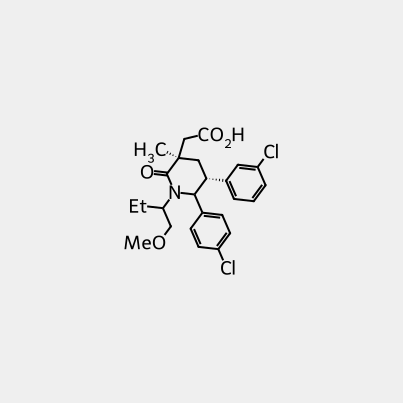 CCC(COC)N1C(=O)[C@@](C)(CC(=O)O)C[C@H](c2cccc(Cl)c2)C1c1ccc(Cl)cc1